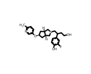 Cc1ccc(O[C@H]2C[C@@H]3CN(CC(CCO)c4ccc(O)c(F)c4)C[C@@H]3C2)cn1